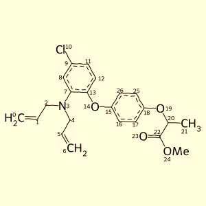 C=CCN(CC=C)c1cc(Cl)ccc1Oc1ccc(OC(C)C(=O)OC)cc1